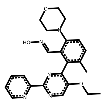 CCOc1cnc(-c2ccccn2)nc1-c1c(C)ccc(N2CCOCC2)c1C=NO